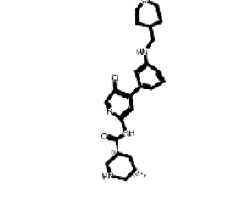 C[C@@H]1CNC[C@@H](C(=O)Nc2cc(-c3cccc(NCC4CCOCC4)c3)c(Cl)cn2)C1